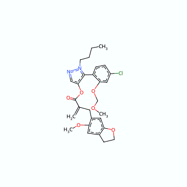 C=C(Cc1cc2c(cc1OC)CCO2)C(=O)Oc1cnn(CCCC)c1-c1ccc(Cl)cc1OCOC